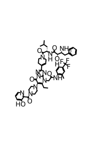 CCc1c(N2CCN(C(=O)c3ncccc3O)CC2)c(=O)n2nc(C3=CCN(C(=O)[C@H](CC(C)C)NC(=O)[C@@H](O)[C@H](N)Cc4ccccc4)CC3)nc2n1CC(=O)Nc1ccc(C(F)(F)F)cc1C